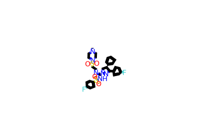 CN1CCN(S(=O)(=O)CC/N=C(/NS(=O)(=O)c2ccc(F)cc2)N2C[C@@H](c3ccccc3)C(c3ccc(F)cc3)=N2)CC1